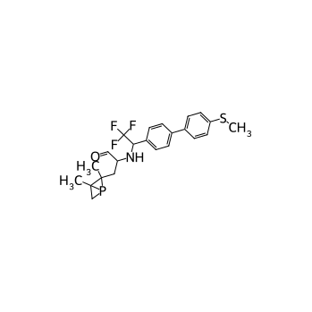 CSc1ccc(-c2ccc(C(NC(C=O)CC3(C)P4CC43C)C(F)(F)F)cc2)cc1